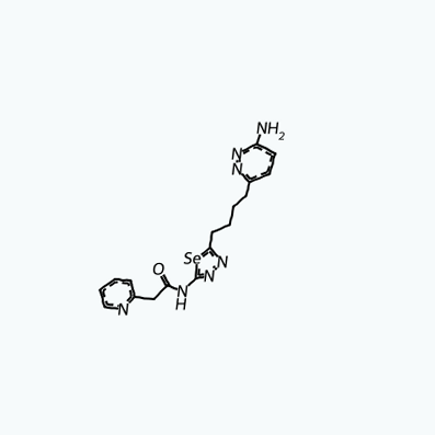 Nc1ccc(CCCCc2nnc(NC(=O)Cc3ccccn3)[se]2)nn1